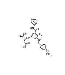 COc1ccc(CN2CCOc3c(C(=O)NC4CN5CCC4CC5)cc(Cl)cc32)cc1.O=C(O)/C=C/C(=O)O